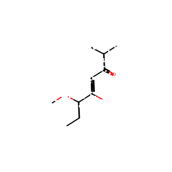 CCC(OC)/C(O)=C/C(=O)C(C)C